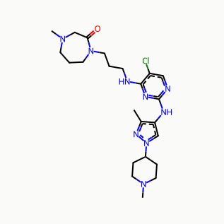 Cc1nn(C2CCN(C)CC2)cc1Nc1ncc(Cl)c(NCCCN2CCCN(C)CC2=O)n1